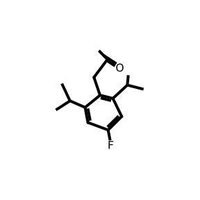 CC(=O)Cc1c(C(C)C)cc(F)cc1C(C)C